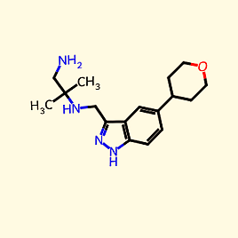 CC(C)(CN)NCc1n[nH]c2ccc(C3CCOCC3)cc12